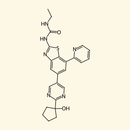 CCNC(=O)Nc1nc2cc(-c3cnc(C4(O)CCCC4)nc3)cc(-c3ccccn3)c2s1